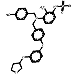 CCS(=O)(=O)Nc1cccc(N(Cc2ccc(C#N)cc2)Cc2ccc(Oc3cccc(OC4CCOC4)c3)cc2)c1C